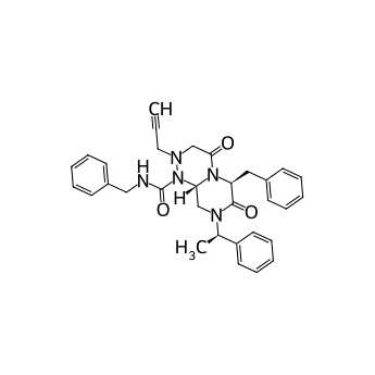 C#CCN1CC(=O)N2[C@@H](Cc3ccccc3)C(=O)N([C@H](C)c3ccccc3)C[C@@H]2N1C(=O)NCc1ccccc1